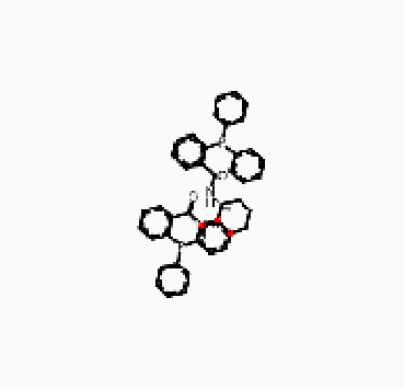 O=C(NC1CCCC[C@H]1NC(=O)c1ccccc1P(c1ccccc1)c1ccccc1)c1ccccc1P(c1ccccc1)c1ccccc1